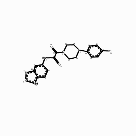 O=C(Nc1ccc2[nH]nnc2c1)C(=O)N1CCN(c2ccc(Cl)cc2)CC1